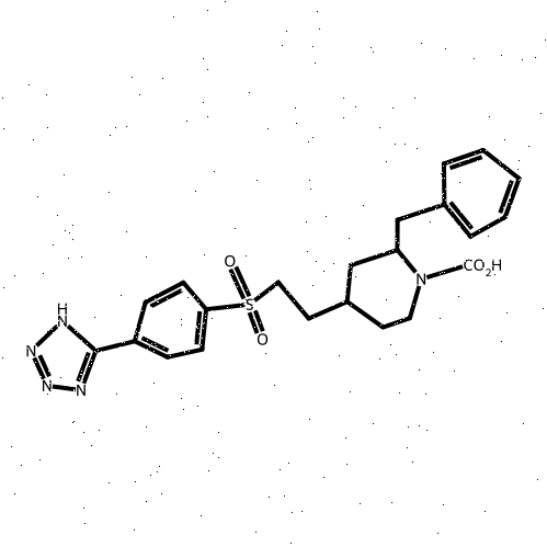 O=C(O)N1CCC(CCS(=O)(=O)c2ccc(-c3nnn[nH]3)cc2)CC1Cc1ccccc1